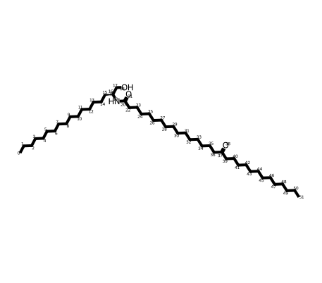 CCCCCCCCCCCCCCCC[C@@H](CO)NC(=O)CCCCCCCCCCCCCCCC(=O)CCCCCCCCCCCCC